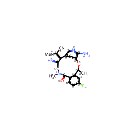 CN/C(C#N)=C1\C(=N)CN(C)C(=O)c2ccc(F)cc2C(C)Oc2cc1cnc2N